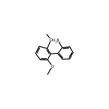 Bc1ccccc1-c1c(OC)cccc1OC